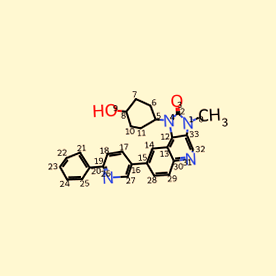 Cn1c(=O)n(C2CCC(O)CC2)c2c3cc(-c4ccc(-c5ccccc5)nc4)ccc3ncc21